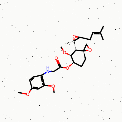 COc1ccc(NCC(=O)O[C@@H]2CC[C@]3(CO3)[C@@H]([C@@]3(C)OC3CC=C(C)C)[C@@H]2OC)c(OC)c1